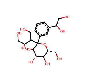 OCC(O)c1cc[c]c(C2(C(CO)C(O)CO)O[C@H](CO)[C@@H](O)[C@H](O)[C@H]2O)c1